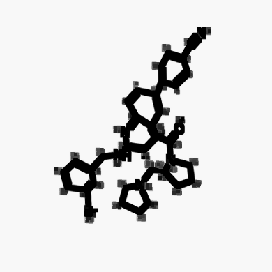 N#Cc1ccc(-c2ccc3nc(NCc4cccc(Br)c4)cc(C(=O)N4CCC[C@H]4CN4CCCC4)c3c2)cc1